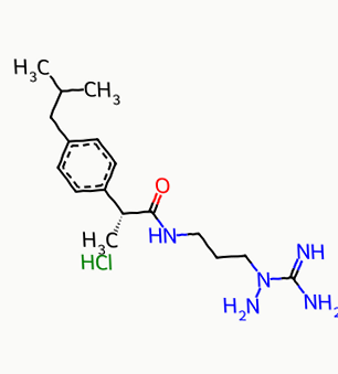 CC(C)Cc1ccc([C@@H](C)C(=O)NCCCN(N)C(=N)N)cc1.Cl